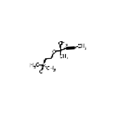 CC#CC(C)(C)OCCP(C)(C)=O